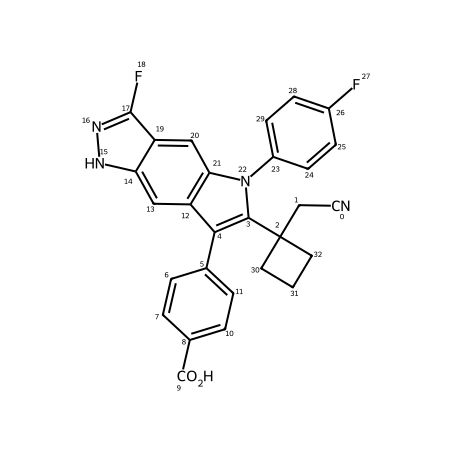 N#CCC1(c2c(-c3ccc(C(=O)O)cc3)c3cc4[nH]nc(F)c4cc3n2-c2ccc(F)cc2)CCC1